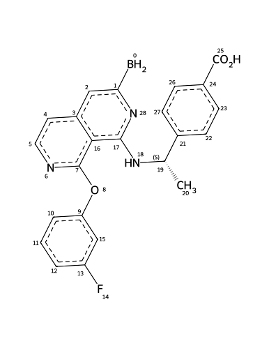 Bc1cc2ccnc(Oc3cccc(F)c3)c2c(N[C@@H](C)c2ccc(C(=O)O)cc2)n1